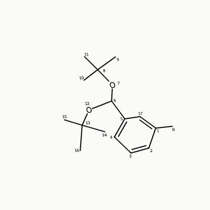 Cc1cccc(C(OC(C)(C)C)OC(C)(C)C)c1